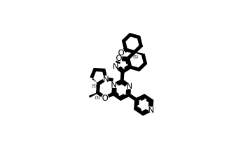 C[C@H](Oc1cc(-c2ccncc2)nc(-c2noc3c2CCC[C@@]32CCCCC2=O)n1)[C@@H]1CCCN1C